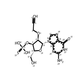 C#CCO[C@@H]1[C@H](OP(O)(O)=S)[C@@H](CO)O[C@H]1n1cnc2c(=O)[nH]c(N)nc21